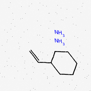 C=CC1CCCCC1.N.N